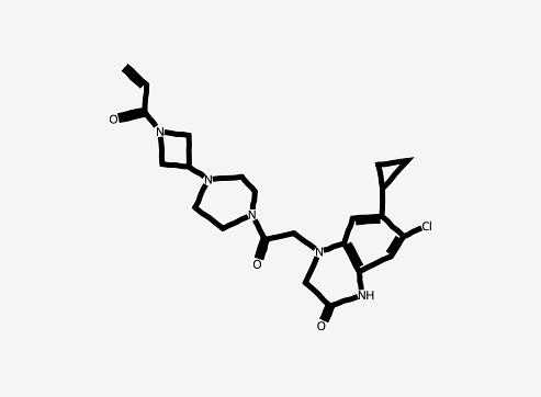 C=CC(=O)N1CC(N2CCN(C(=O)CN3CC(=O)Nc4cc(Cl)c(C5CC5)cc43)CC2)C1